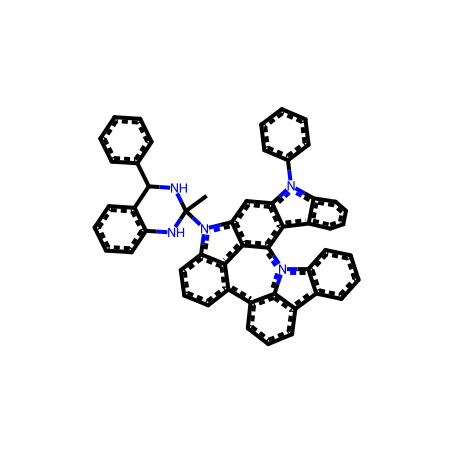 CC1(n2c3cccc4c5cccc6c7ccccc7n(c56)c5c6c7ccccc7n(-c7ccccc7)c6cc2c5c43)Nc2ccccc2C(c2ccccc2)N1